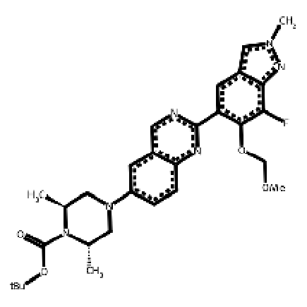 COCOc1c(-c2ncc3cc(N4C[C@H](C)N(C(=O)OC(C)(C)C)[C@@H](C)C4)ccc3n2)cc2cn(C)nc2c1F